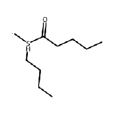 [CH2][SH](CCCC)C(=O)CCCC